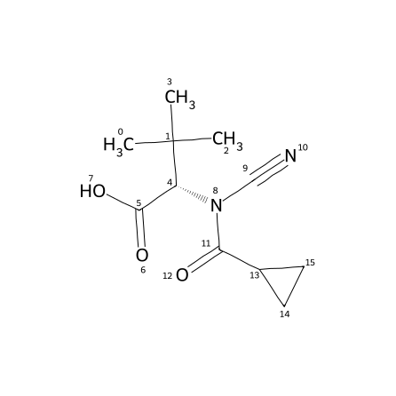 CC(C)(C)[C@@H](C(=O)O)N(C#N)C(=O)C1CC1